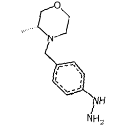 C[C@@H]1COCCN1Cc1ccc(NN)cc1